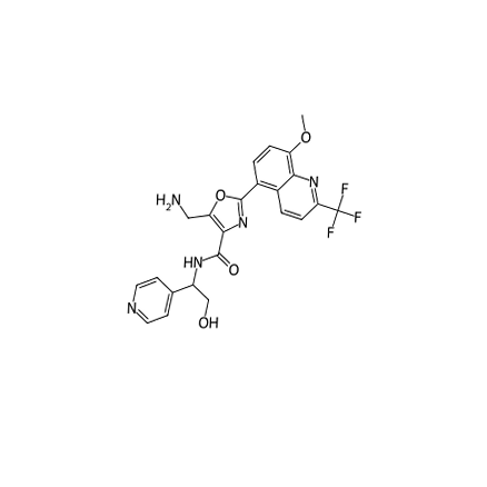 COc1ccc(-c2nc(C(=O)NC(CO)c3ccncc3)c(CN)o2)c2ccc(C(F)(F)F)nc12